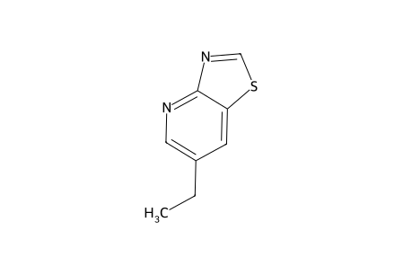 CCc1cnc2ncsc2c1